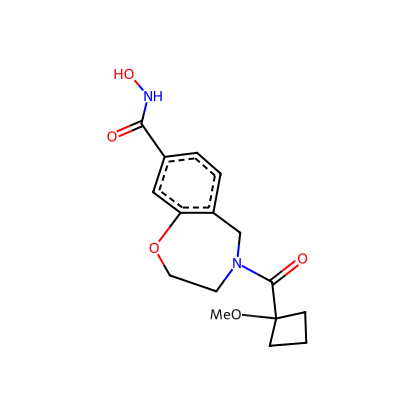 COC1(C(=O)N2CCOc3cc(C(=O)NO)ccc3C2)CCC1